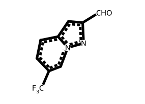 O=Cc1cc2ccc(C(F)(F)F)cn2n1